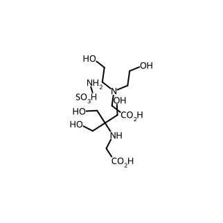 NS(=O)(=O)O.O=C(O)CN(CCO)CCO.O=C(O)CNC(CO)(CO)CO